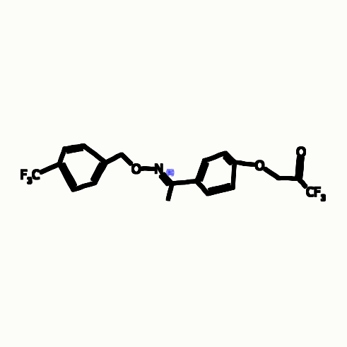 C/C(=N\OCc1ccc(C(F)(F)F)cc1)c1ccc(OCC(=O)C(F)(F)F)cc1